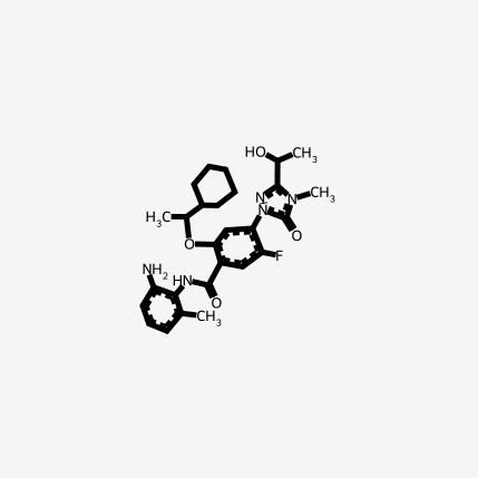 Cc1cccc(N)c1NC(=O)c1cc(F)c(-n2nc(C(C)O)n(C)c2=O)cc1OC(C)C1CCCCC1